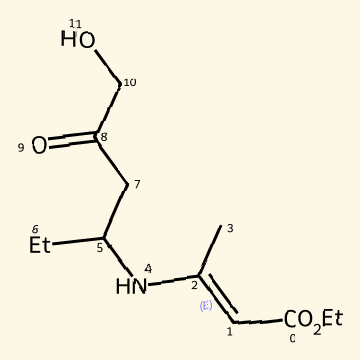 CCOC(=O)/C=C(\C)NC(CC)CC(=O)CO